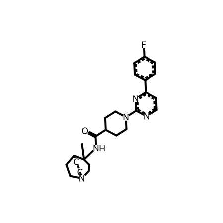 CC1(NC(=O)C2CCN(c3nccc(-c4ccc(F)cc4)n3)CC2)CCN2CCC1CC2